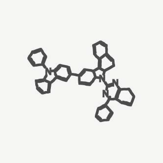 C1=Cc2c(nc(N3C4CC=c5ccccc5=C4C4C=C(c5ccc6c(c5)c5ccccc5n6-c5ccccc5)C=CC43)nc2-c2ccccc2)CC1